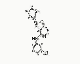 Clc1cccc(Nc2ncnc3oc(-c4cccs4)nc23)c1